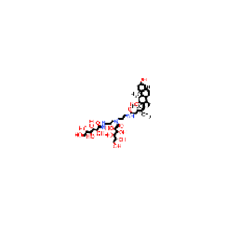 C[C@H](CCC(=O)NCCCN(CCCNC(=O)[C@H](O)[C@@H](O)[C@H](O)[C@H](O)CO)C(=O)[C@H](O)[C@@H](O)[C@H](O)[C@H](O)CO)[C@H]1CCC2C3CC[C@@H]4C[C@H](O)CC[C@]4(C)C3C[C@H](O)[C@@]21C